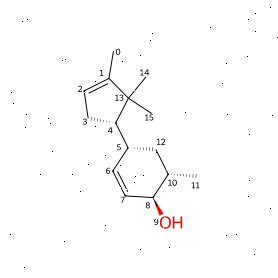 CC1=CC[C@@H]([C@H]2C=C[C@H](O)[C@@H](C)C2)C1(C)C